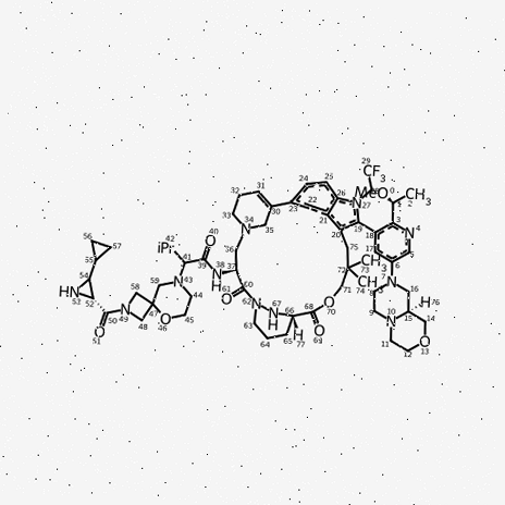 CO[C@@H](C)c1ncc(N2CCN3CCOC[C@@H]3C2)cc1-c1c2c3cc(ccc3n1CC(F)(F)F)C1=CCCN(C1)C[C@H](NC(=O)C(C(C)C)N1CCOC3(CN(C(=O)[C@@H]4NC4C4CC4)C3)C1)C(=O)N1CCC[C@H](N1)C(=O)OCC(C)(C)C2